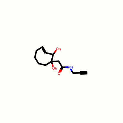 C#CCNC(=O)CC1(O)CCCC/C=C/C1O